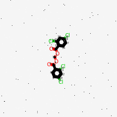 O=C(OCOC(=O)c1ccc(Cl)cc1Cl)c1ccc(Cl)cc1Cl